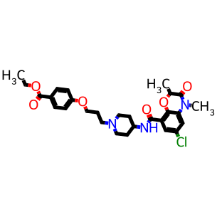 CCOC(=O)c1ccc(OCCCN2CCC(NC(=O)c3cc(Cl)cc4c3OC(C)C(=O)N4C)CC2)cc1